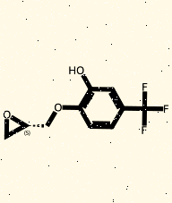 Oc1cc(C(F)(F)F)ccc1OC[C@@H]1CO1